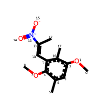 COc1cc(C)c(OC)c(C=C(C)[N+](=O)[O-])c1C